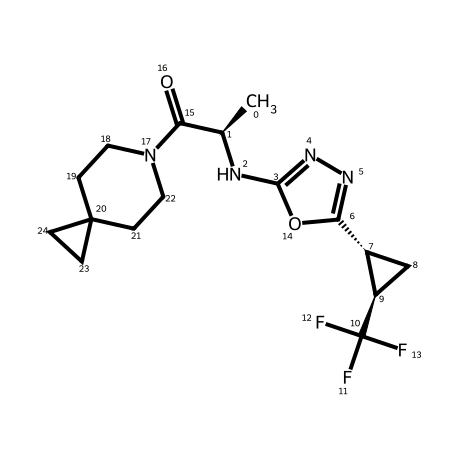 C[C@@H](Nc1nnc([C@@H]2C[C@H]2C(F)(F)F)o1)C(=O)N1CCC2(CC1)CC2